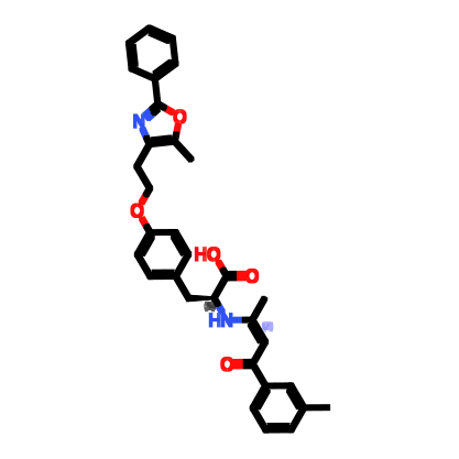 C/C(=C/C(=O)c1cccc(C)c1)N[C@@H](Cc1ccc(OCCc2nc(-c3ccccc3)oc2C)cc1)C(=O)O